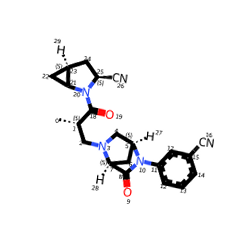 C[C@@H](CN1C[C@@H]2C[C@H]1C(=O)N2c1cccc(C#N)c1)C(=O)N1C2C[C@H]2C[C@H]1C#N